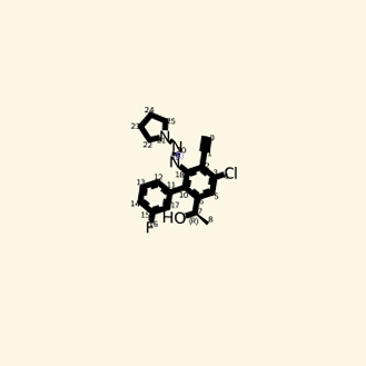 C#Cc1c(Cl)cc([C@@H](C)O)c(-c2cccc(F)c2)c1/N=N/N1CCCC1